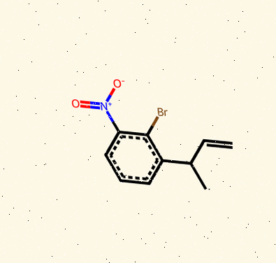 [CH2]C(C=C)c1cccc([N+](=O)[O-])c1Br